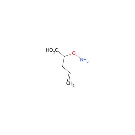 C=CCC(ON)C(=O)O